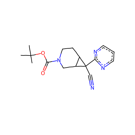 CC(C)(C)OC(=O)N1CCC2C(C1)C2(C#N)c1ncccn1